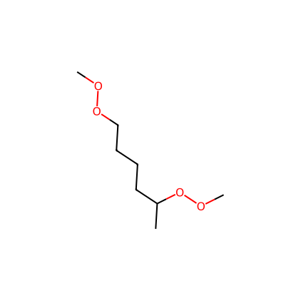 COOCCCCC(C)OOC